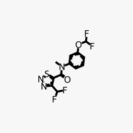 CN(C(=O)c1snnc1C(F)F)c1cccc(OC(F)F)c1